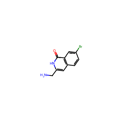 NCc1cc2ccc(Br)cc2c(=O)[nH]1